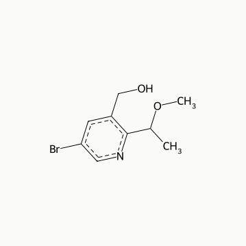 COC(C)c1ncc(Br)cc1CO